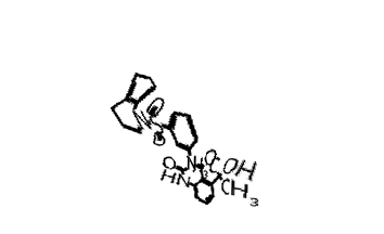 CC(C)(O)c1cccc2[nH]c(=O)n(-c3cccc(S(=O)(=O)N4CCCc5ccccc54)c3)c(=O)c12